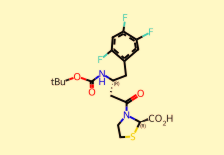 CC(C)(C)OC(=O)N[C@@H](CC(=O)N1CCS[C@@H]1C(=O)O)Cc1cc(F)c(F)cc1F